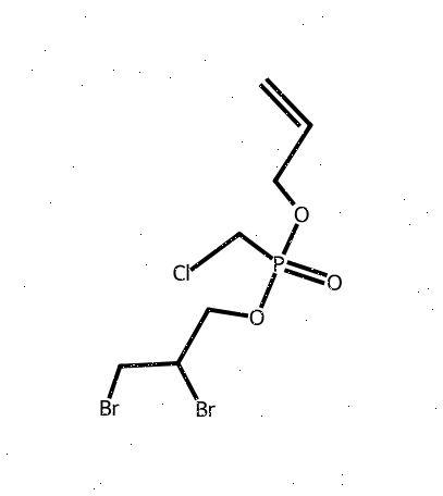 C=CCOP(=O)(CCl)OCC(Br)CBr